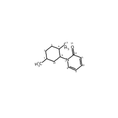 CC1CCC(C)C(n2ccccc2=O)C1